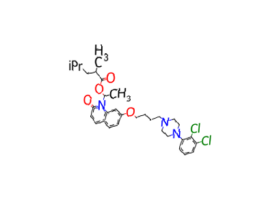 CC(C)CC(C)C(=O)OC(C)n1c(=O)ccc2ccc(OCCCCN3CCN(c4cccc(Cl)c4Cl)CC3)cc21